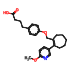 COc1ccc(C2=C(COc3ccc(CCCC(=O)O)cc3)CCCCC2)cn1